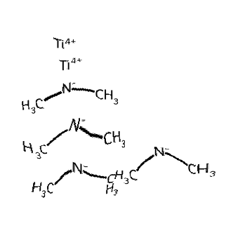 C[N-]C.C[N-]C.C[N-]C.C[N-]C.[Ti+4].[Ti+4]